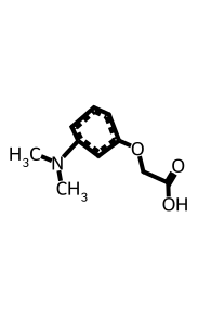 CN(C)c1cccc(OCC(=O)O)c1